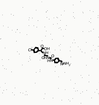 NN=Cc1ccc(NC(=O)NCC(=O)NCC(C(=O)O)c2ccc(Cl)cc2)cc1